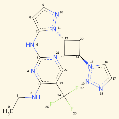 CCNc1nc(Nc2ccnn2[C@H]2C[C@H](n3ccnn3)C2)ncc1C(F)(F)F